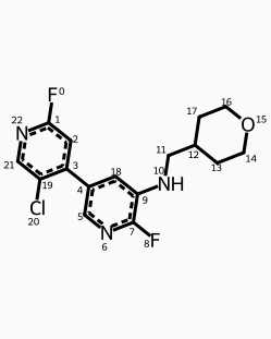 Fc1cc(-c2cnc(F)c(NCC3CCOCC3)c2)c(Cl)cn1